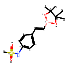 CC1(C)OB(/C=C/c2ccc(NS(C)(=O)=O)cc2)OC1(C)C